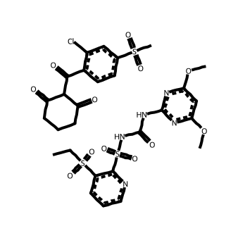 CCS(=O)(=O)c1cccnc1S(=O)(=O)NC(=O)Nc1nc(OC)cc(OC)n1.CS(=O)(=O)c1ccc(C(=O)C2C(=O)CCCC2=O)c(Cl)c1